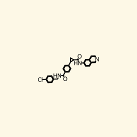 O=C(NCc1ccc(Cl)cc1)c1ccc(C2CC2C(=O)Nc2ccc3cnccc3c2)cc1